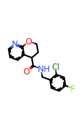 O=C(NCc1ccc(F)cc1Cl)C1CCOc2ncccc21